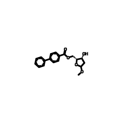 COC1C[C@@H](O)[C@@H](COC(=O)c2ccc(-c3ccccc3)cc2)O1